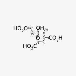 CC(C(CCC(=O)O)C(=O)O)P(=O)(O)CCC(=O)O